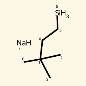 CC(C)(C)CC[SiH3].[NaH]